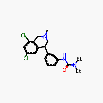 CCN(CC)C(=O)Nc1cccc(C2CN(C)Cc3c(Cl)cc(Cl)cc32)c1